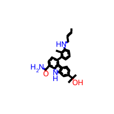 C/C=C/CNc1cccc(-c2ccc(C(N)=O)c3[nH]c4cc(C(C)(C)O)ccc4c23)c1C